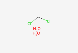 ClCCl.O.O